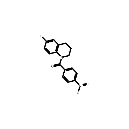 O=C(c1ccc([N+](=O)[O-])cc1)N1CCCc2cc(F)ccc21